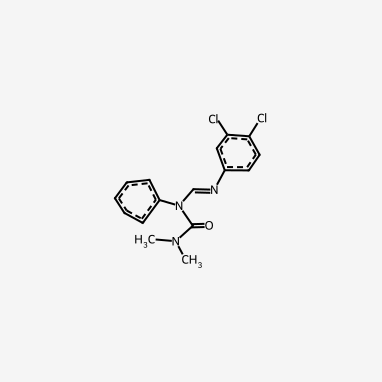 CN(C)C(=O)N(C=Nc1ccc(Cl)c(Cl)c1)c1ccccc1